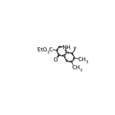 CCOC(=O)c1c[nH]c2c(F)c(C)c(C)cc2c1=O